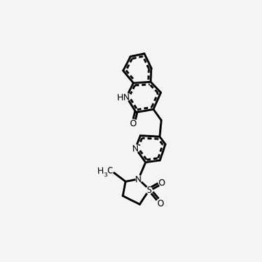 CC1CCS(=O)(=O)N1c1ccc(Cc2cc3ccccc3[nH]c2=O)cn1